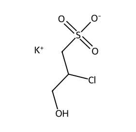 O=S(=O)([O-])CC(Cl)CO.[K+]